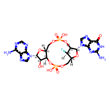 Nc1nc2c(ncn2[C@@H]2O[C@@H]3COP(=O)(O)O[C@H]4[C@@H](O)[C@H](n5cnc6c(N)ncnc65)O[C@@H]4COP(=O)(O)O[C@@H]2[C@@H]3F)c(=O)[nH]1